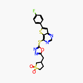 O=S1(=O)CCC(Cc2nnc(Sc3ncnc4cc(-c5ccc(F)cc5)sc34)o2)C1